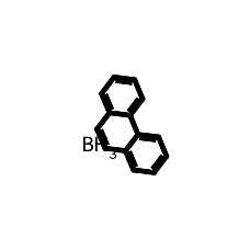 B.c1ccc2c(c1)ccc1ccccc12